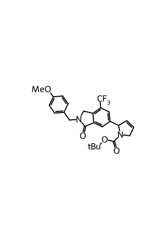 COc1ccc(CN2Cc3c(cc(C4C=CCN4C(=O)OC(C)(C)C)cc3C(F)(F)F)C2=O)cc1